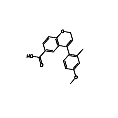 COc1ccc(C2=CCOc3ccc(C(=O)O)cc32)c(C)c1